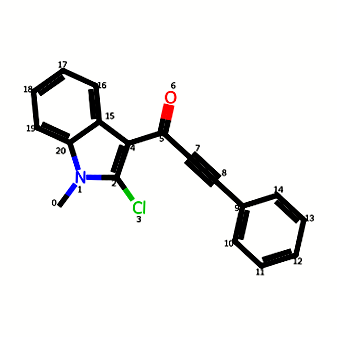 Cn1c(Cl)c(C(=O)C#Cc2ccccc2)c2ccccc21